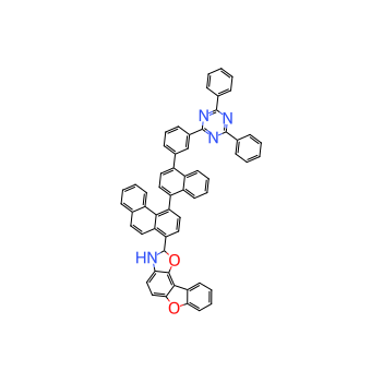 c1ccc(-c2nc(-c3ccccc3)nc(-c3cccc(-c4ccc(-c5ccc(C6Nc7ccc8oc9ccccc9c8c7O6)c6ccc7ccccc7c56)c5ccccc45)c3)n2)cc1